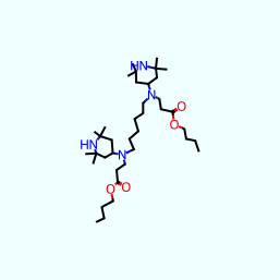 CCCCOC(=O)CCN(CCCCCCN(CCC(=O)OCCCC)C1CC(C)(C)NC(C)(C)C1)C1CC(C)(C)NC(C)(C)C1